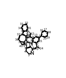 CC1=NCCC2=C1N(c1c(C(C)C)cc(-c3ccccc3)cc1C(C)C)C1C3c4oc5ccccc5c4C=CC(CN21)C3C